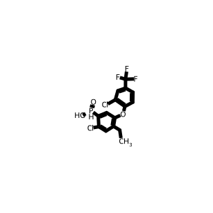 CCc1cc(Cl)c([PH](=O)O)cc1Oc1ccc(C(F)(F)F)cc1Cl